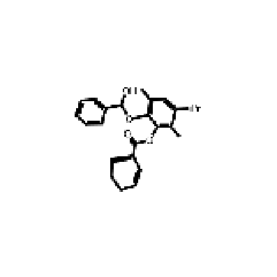 Cc1cc(C(C)C)c(C)c(OC(=O)C2=CCCC=C2)c1OC(O)c1ccccc1